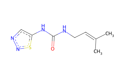 CC(C)=CCNC(=O)Nc1cnns1